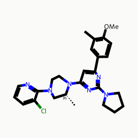 COc1ccc(-c2cc(N3CCN(c4ncccc4Cl)C[C@H]3C)nc(N3CCCC3)n2)cc1C